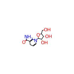 NC(=O)C1=CN(C2OC(CO)[C@H](O)[C@@H]2O)C=CC1